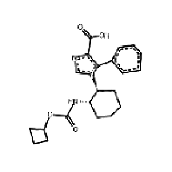 O=C(N[C@H]1CCCC[C@@H]1n1cnc(C(=O)O)c1-c1ccccc1)OC1CCC1